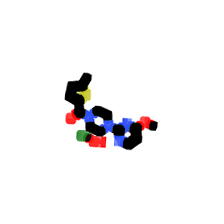 COc1ccnc(N2CCN(C(=O)c3ccc(C)s3)CC2)n1.OCl